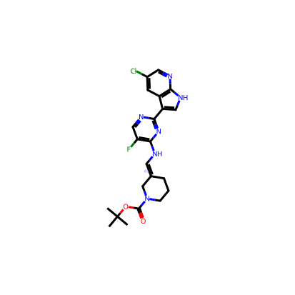 CC(C)(C)OC(=O)N1CCC/C(=C\Nc2nc(-c3c[nH]c4ncc(Cl)cc34)ncc2F)C1